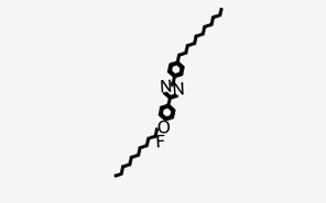 CCCCCCCCCCCc1ccc(-c2ncc(-c3ccc(OCC(F)CCCCCCCCC)cc3)cn2)cc1